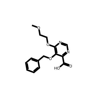 COCCOc1ncnc(C(=O)O)c1OCc1ccccc1